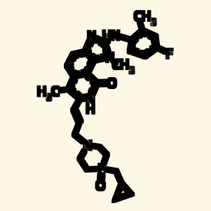 Cc1cc(F)ccc1Nc1nc2ccc3c(C)c(C=CCN4CCP(=O)(CC5CC5)CC4)[nH]c(=O)c3c2n1C